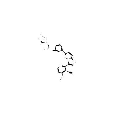 COc1ccnc(-c2cnc3ccc(-c4cccc(O[C@@H](C)Cn5cnnn5)c4)nn23)c1C#N